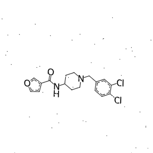 O=C(NC1CCN(Cc2ccc(Cl)c(Cl)c2)CC1)c1ccoc1